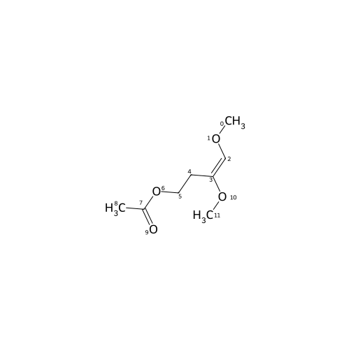 CO/C=C(\CCOC(C)=O)OC